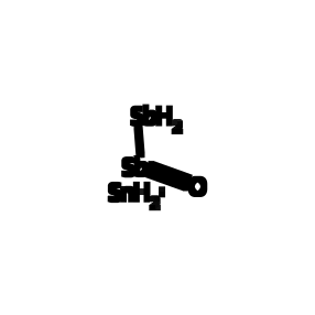 [O]=[Sb][SbH2].[SnH2]